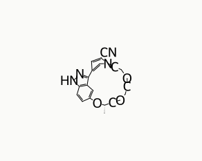 C[C@H]1COCCOCCn2cc(cc2C#N)-c2n[nH]c3ccc(cc23)O1